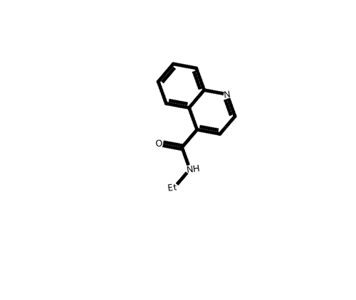 CCNC(=O)c1ccnc2ccccc12